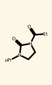 CCCN1CCN(C(=O)CC)C1=O